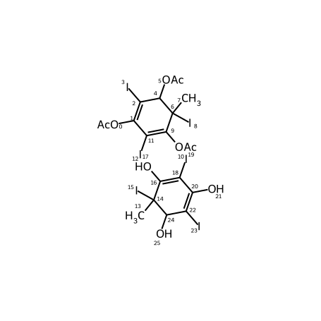 CC(=O)OC1=C(I)C(OC(C)=O)C(C)(I)C(OC(C)=O)=C1I.CC1(I)C(O)=C(I)C(O)=C(I)C1O